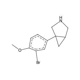 COc1ccc(C23CNCC2C3)cc1Br